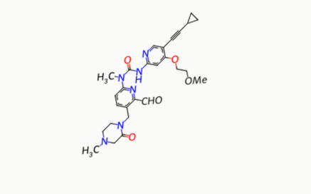 COCCOc1cc(NC(=O)N(C)c2ccc(CN3CCN(C)CC3=O)c(C=O)n2)ncc1C#CC1CC1